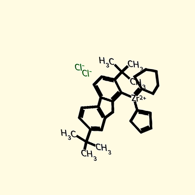 CC(C)(C)c1ccc2c(c1)Cc1c-2ccc(C(C)(C)C)[c]1[Zr+2]([C]1=CC=CC1)=[C]1CCCCC1.[Cl-].[Cl-]